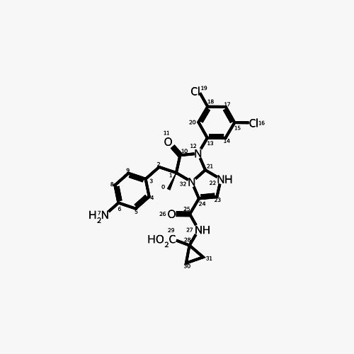 C[C@@]1(Cc2ccc(N)cc2)C(=O)N(c2cc(Cl)cc(Cl)c2)C2NC=C(C(=O)NC3(C(=O)O)CC3)N21